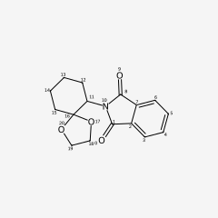 O=C1c2ccccc2C(=O)N1C1CCCCC12OCCO2